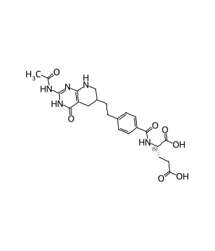 CC(=O)Nc1nc2c(c(=O)[nH]1)CC(CCc1ccc(C(=O)N[C@@H](CCC(=O)O)C(=O)O)cc1)CN2